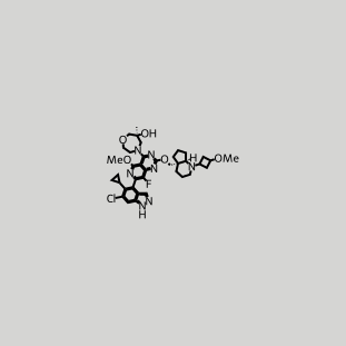 COc1nc(-c2c(C3CC3)c(Cl)cc3[nH]ncc23)c(F)c2nc(OC[C@]34CCC[C@H]3N(C3CC(OC)C3)CCC4)nc(N3CCOC[C@@](C)(O)C3)c12